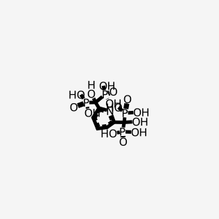 O=P(O)(O)C(O)(c1cccc(C(O)(P(=O)(O)O)P(=O)(O)O)n1)P(=O)(O)O